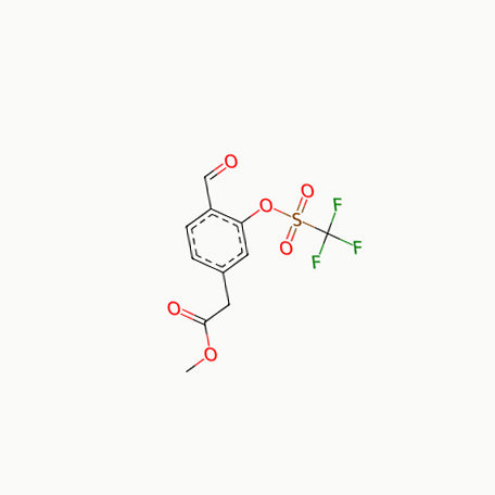 COC(=O)Cc1ccc(C=O)c(OS(=O)(=O)C(F)(F)F)c1